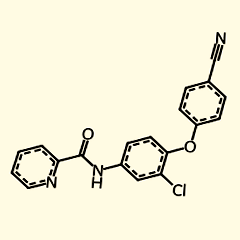 N#Cc1ccc(Oc2ccc(NC(=O)c3ccccn3)cc2Cl)cc1